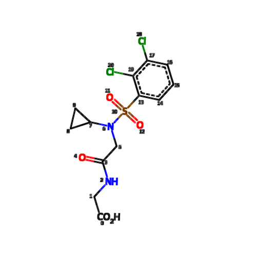 O=C(O)CNC(=O)CN(C1CC1)S(=O)(=O)c1cccc(Cl)c1Cl